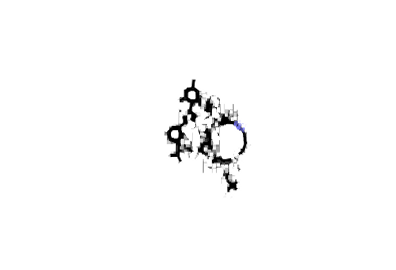 Cc1ccc(-c2csc(-c3cccc4c3nc(O[C@@H]3C[C@H]5C(=O)N[C@]6(C(=O)NS(=O)(=O)N(C)C)C[C@H]6/C=C\CCCCC[C@H](NC(=O)OC(C)(C)C)C(=O)N5C3)n4C(C)C)n2)c(C)c1